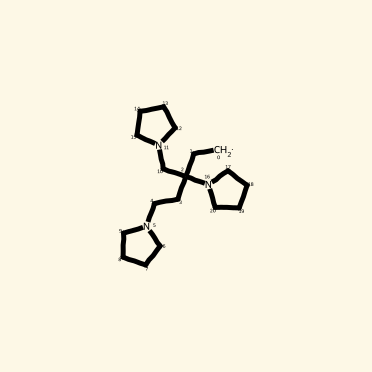 [CH2]CC(CCN1CCCC1)(CN1CCCC1)N1CCCC1